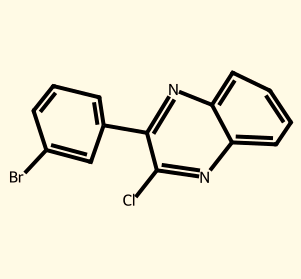 Clc1nc2ccccc2nc1-c1cccc(Br)c1